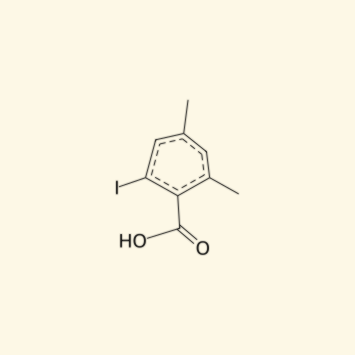 Cc1cc(C)c(C(=O)O)c(I)c1